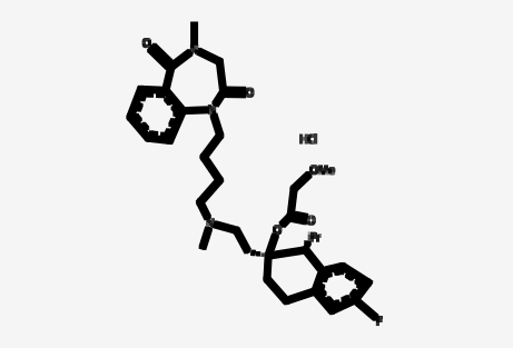 COCC(=O)O[C@]1(CCN(C)CCCCN2C(=O)CN(C)C(=O)c3ccccc32)CCc2cc(F)ccc2[C@@H]1C(C)C.Cl